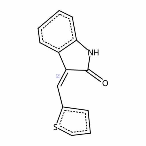 O=C1Nc2ccccc2/C1=C/c1cccs1